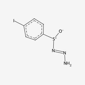 NN=N[S+]([O-])c1ccc(I)cc1